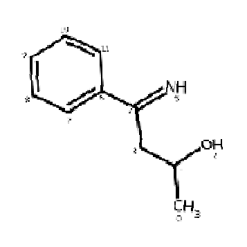 CC(O)CC(=N)c1ccccc1